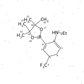 CCNC1=CCC(C(F)(F)F)C=C1B1OC(C)(C)C(C)(C)O1